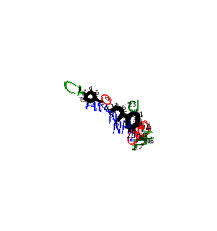 Nc1nc(NC(=O)c2ccc(Cl)cc2)ccc1-c1cc2c(cc1Cl)OC(F)(F)O2